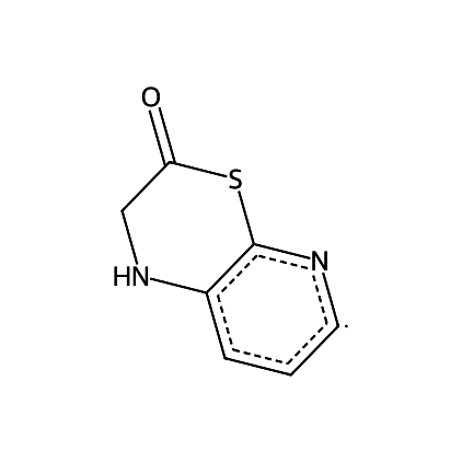 O=C1CNc2cc[c]nc2S1